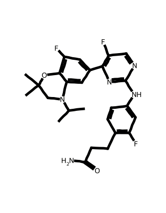 CC(C)N1CC(C)(C)Oc2c(F)cc(-c3nc(Nc4ccc(CCC(N)=O)c(F)c4)ncc3F)cc21